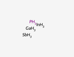 P.[GaH3].[InH3].[SbH3]